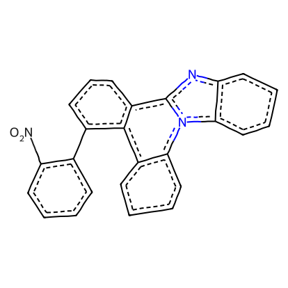 O=[N+]([O-])c1ccccc1-c1cccc2c1c1ccccc1n1c3ccccc3nc21